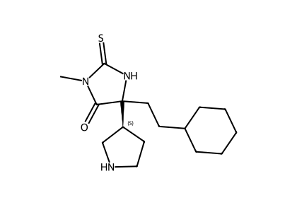 CN1C(=O)C(CCC2CCCCC2)([C@H]2CCNC2)NC1=S